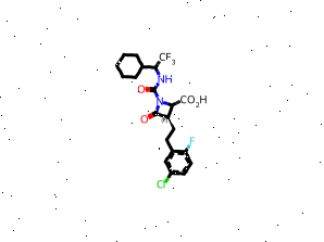 O=C(O)C1[C@@H](CCc2cc(Cl)ccc2F)C(=O)N1C(=O)NC(C1CCCCC1)C(F)(F)F